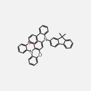 CC1(C)c2ccccc2-c2ccc(N(c3cc4c5c(c3)Oc3ccccc3N5c3ccccc3O4)c3ccccc3-c3ccccc3)cc21